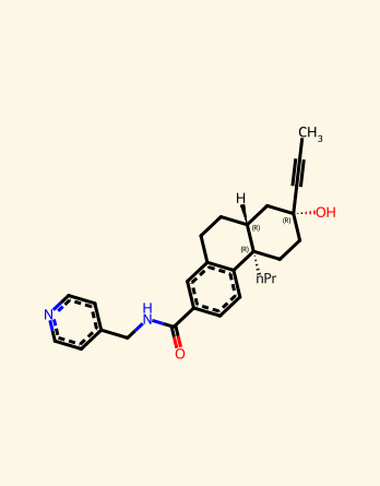 CC#C[C@@]1(O)CC[C@@]2(CCC)c3ccc(C(=O)NCc4ccncc4)cc3CC[C@@H]2C1